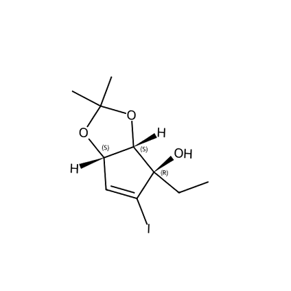 CC[C@]1(O)C(I)=C[C@@H]2OC(C)(C)O[C@@H]21